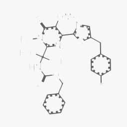 COc1c(-c2ncc(Cc3ccc(F)cc3)s2)nc(C(C)(C)NC(=O)OCc2ccccc2)n(C)c1=S